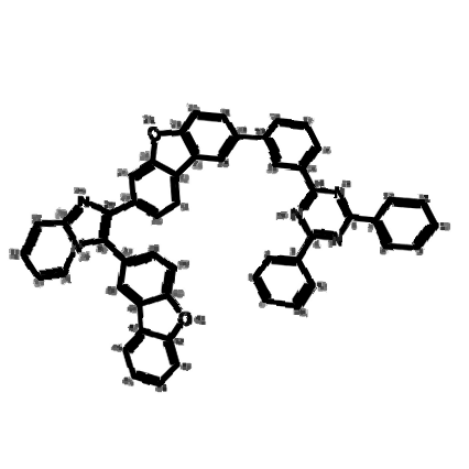 c1ccc(-c2nc(-c3ccccc3)nc(-c3cccc(-c4ccc5oc6cc(-c7nc8ccccn8c7-c7ccc8oc9ccccc9c8c7)ccc6c5c4)c3)n2)cc1